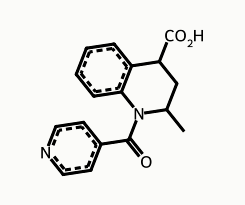 CC1CC(C(=O)O)c2ccccc2N1C(=O)c1ccncc1